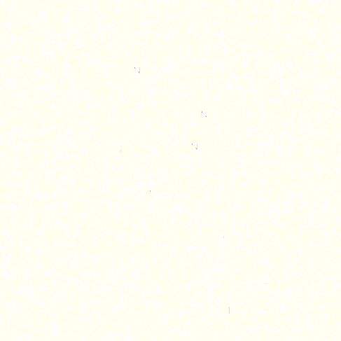 C[C@@H]1Cc2nn3c(c2CN1C(=O)O)C(=O)N(C)OC(COCC(F)(F)F)C3